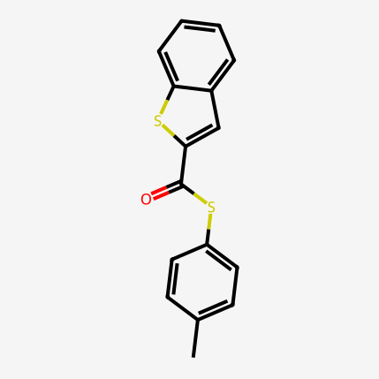 Cc1ccc(SC(=O)c2cc3ccccc3s2)cc1